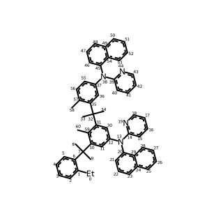 CCc1ccccc1C(C)(C)c1cc(N(c2ccccn2)c2cccc3ccccc23)cc(C(C)(C)c2cc(N(c3ccccn3)c3cccc4ccccc34)ccc2C)c1C